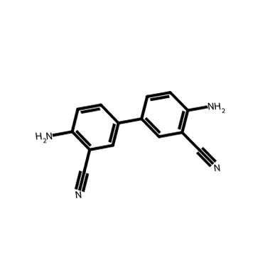 N#Cc1cc(-c2ccc(N)c(C#N)c2)ccc1N